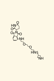 O=C1CCC(N2C(=O)c3cccc(NCCOCCOCCNSC4CNC4)c3C2=O)C(=O)N1